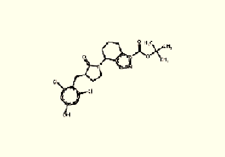 CC(C)(C)OC(=O)n1ncc2c1CCCC2N1CC[C@@H](Cc2c(Cl)cc(O)cc2Cl)C1=O